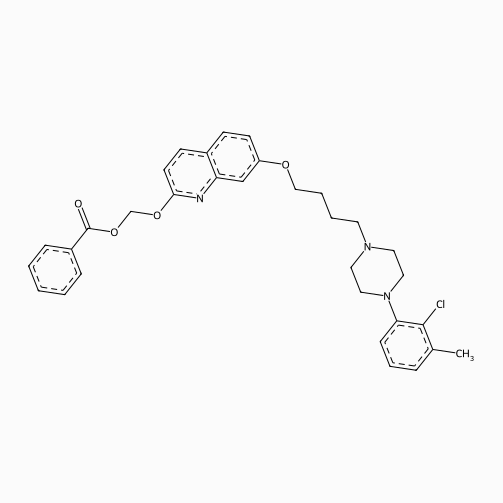 Cc1cccc(N2CCN(CCCCOc3ccc4ccc(OCOC(=O)c5ccccc5)nc4c3)CC2)c1Cl